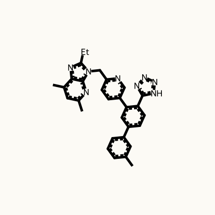 CCc1nc2c(C)cc(C)nc2n1Cc1ccc(-c2cc(-c3cccc(C)c3)ccc2-c2nnn[nH]2)cn1